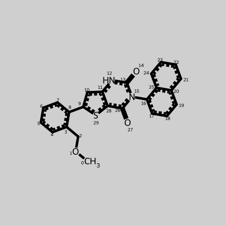 COCc1ccccc1-c1cc2[nH]c(=O)n(-c3cccc4ccccc34)c(=O)c2s1